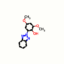 COc1cc(OC)c(O)c(-n2nc3ccccc3n2)c1